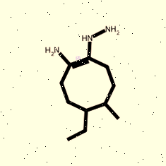 CCC1CC/C(N)=C(/NN)CCC1C